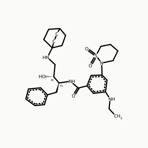 CCNc1cc(C(=O)N[C@@H](Cc2ccccc2)[C@H](O)CNC23CCC(CC2)CC3)cc(N2CCCCS2(=O)=O)c1